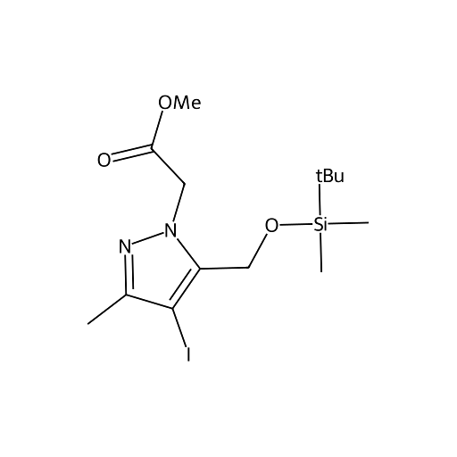 COC(=O)Cn1nc(C)c(I)c1CO[Si](C)(C)C(C)(C)C